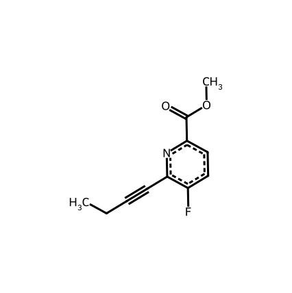 CCC#Cc1nc(C(=O)OC)ccc1F